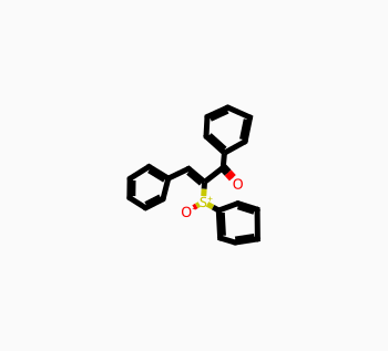 O=C(C(=Cc1ccccc1)[S+]([O-])c1ccccc1)c1ccccc1